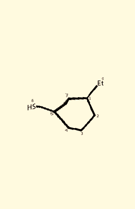 CCC1CCCC(S)C1